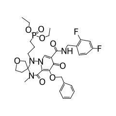 CCOP(=O)(CCCN1n2cc(C(=O)NCc3ccc(F)cc3F)c(=O)c(OCc3ccccc3)c2C(=O)N(C)C12CCOC2)OCC